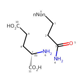 CCCCCCCCCCCC(N)=O.N[C@@H](CCC(=O)O)C(=O)O